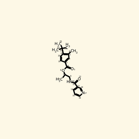 Cc1cc(C(=O)OC(C)CNC(=O)c2cccnc2)ccc1C(C)(C)C